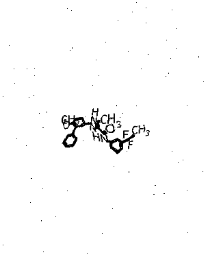 CCC(F)(F)c1cccc(NC(=O)c2nc(-c3ccc(OC)c(C4CCCCC4)c3)[nH]c2C)c1